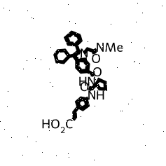 CNC(=O)Cn1c(-c2ccccc2)c(C2CCCCC2)c2ccc(C(=O)NC3(C(=O)Nc4ccc(C=CC(=O)O)cc4)CCCC3)cc21